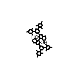 Cc1cc(C)c(-c2cc(-c3cc4c(c(-c5c(O)c(-c6cc(-c7c(C)cc(C)cc7C)cc(-c7c(C)cc(C)cc7C)c6)cc6c5CCCC6)c3O)CCCC4)cc(-c3c(C)cc(C)cc3C)c2)c(C)c1